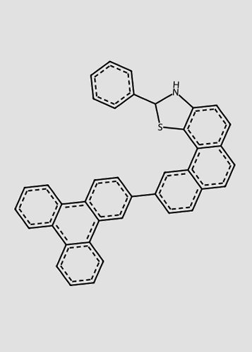 c1ccc(C2Nc3ccc4ccc5ccc(-c6ccc7c8ccccc8c8ccccc8c7c6)cc5c4c3S2)cc1